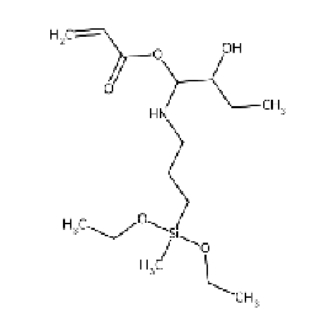 C=CC(=O)OC(NCCC[Si](C)(OCC)OCC)C(O)CC